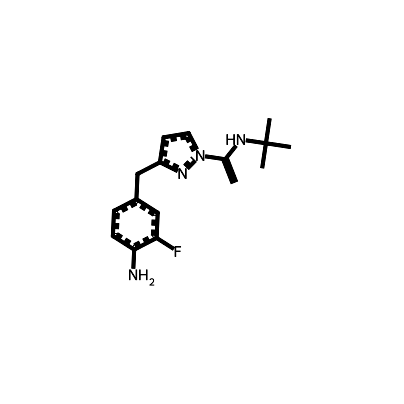 C=C(NC(C)(C)C)n1ccc(Cc2ccc(N)c(F)c2)n1